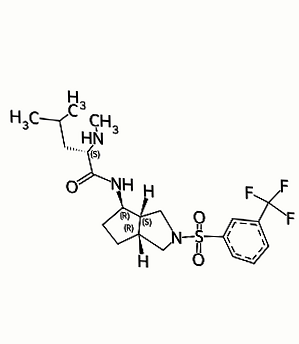 CN[C@@H](CC(C)C)C(=O)N[C@@H]1CC[C@H]2CN(S(=O)(=O)c3cccc(C(F)(F)F)c3)C[C@H]21